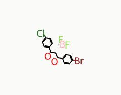 F[B]F.O=C(CC(=O)c1ccc(Br)cc1)c1ccc(Cl)cc1